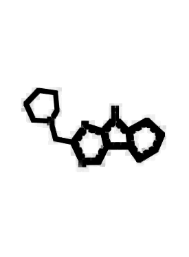 c1ccc2c(c1)[nH]c1nc(CN3CCCCC3)ncc12